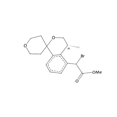 COC(=O)C(Br)c1cccc2c1[C@@H](C)COC21CCOCC1